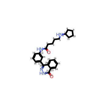 O=C(CCCCNC1CCCC1)Nc1cccc(-c2n[nH]c(=O)c3ccccc23)c1